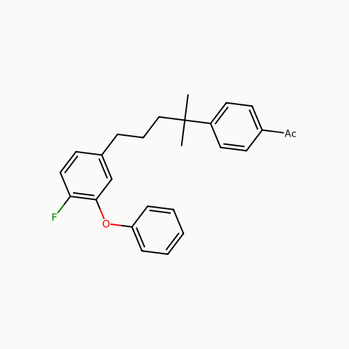 CC(=O)c1ccc(C(C)(C)CCCc2ccc(F)c(Oc3ccccc3)c2)cc1